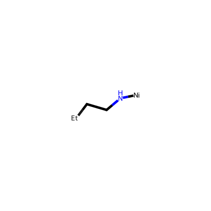 CCCC[NH][Ni]